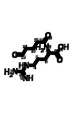 N=C(N)NCCCC(N)C(=O)O.O=CCCCC=O